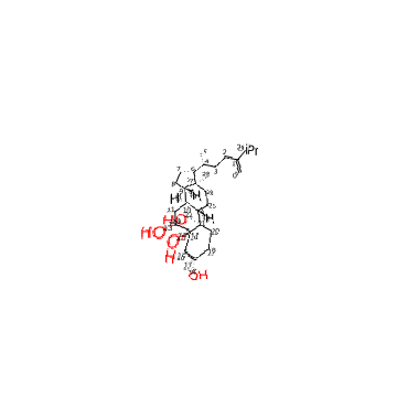 C=C(CC[C@@H](C)[C@H]1CC[C@H]2[C@@H]3C[C@@H](O)[C@@]4(O)C[C@@H](O)CC[C@]4(CO)[C@H]3CC[C@]12C)C(C)C